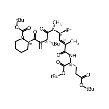 C/C(=C\[C@H](C(C)C)N(C)C(=O)[C@@H](NC(=O)[C@H]1CCCCN1C(=O)OC(C)(C)C)C(C)(C)C)C(=O)N[C@H](CCC(=O)OC(C)(C)C)C(=O)OC(C)(C)C